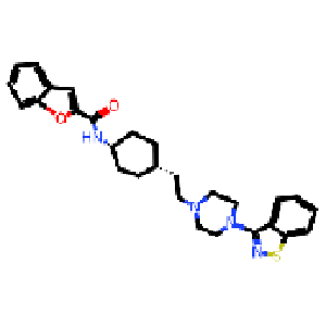 O=C(N[C@H]1CC[C@@H](CCN2CCN(c3nsc4ccccc34)CC2)CC1)c1cc2ccccc2o1